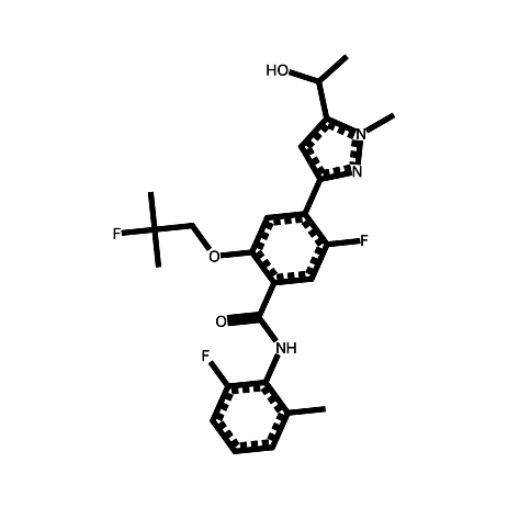 Cc1cccc(F)c1NC(=O)c1cc(F)c(-c2cc(C(C)O)n(C)n2)cc1OCC(C)(C)F